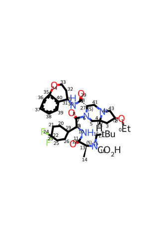 CCO[C@H]1C[C@@H]2CN(C(=O)[C@@H](NC(=O)[C@H](C)N(CC(C)(C)C)C(=O)O)C3CCC(F)(F)CC3)[C@H](C(=O)N[C@@H]3CCOc4ccccc43)CN2C1